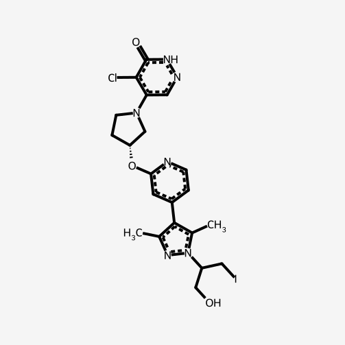 Cc1nn(C(CO)CI)c(C)c1-c1ccnc(O[C@@H]2CCN(c3cn[nH]c(=O)c3Cl)C2)c1